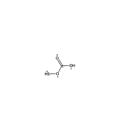 O=C(O)OS